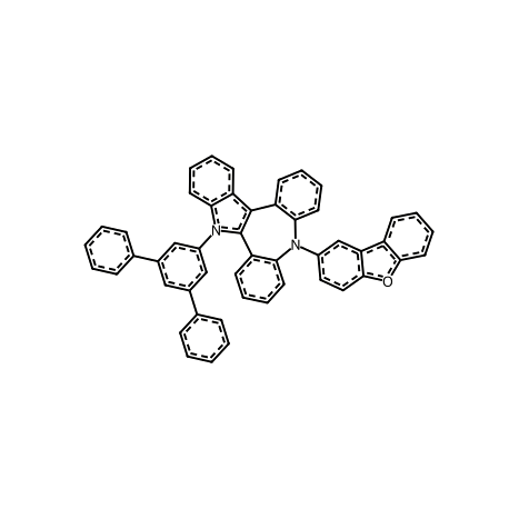 c1ccc(-c2cc(-c3ccccc3)cc(-n3c4c(c5ccccc53)-c3ccccc3N(c3ccc5oc6ccccc6c5c3)c3ccccc3-4)c2)cc1